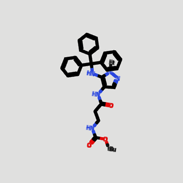 CCn1ncc(NC(=O)CCNC(=O)OC(C)(C)C)c1NC(c1ccccc1)(c1ccccc1)c1ccccc1